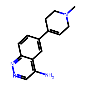 CN1CC=C(c2ccc3nncc(N)c3c2)CC1